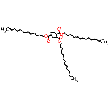 CCCCCCCCCCCCCOC(=O)C1CCC(C(=O)OCCCCCCCCCCCCC)C(C(=O)OCCCCCCCCCCCCC)C1